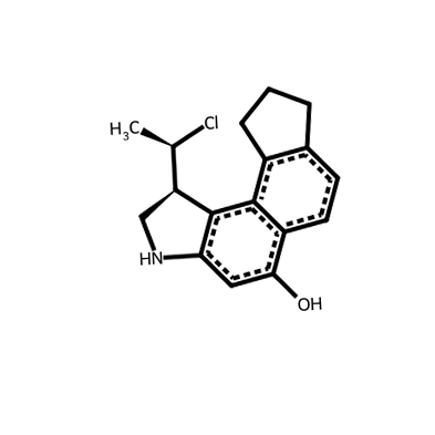 C[C@@H](Cl)[C@@H]1CNc2cc(O)c3ccc4c(c3c21)CCC4